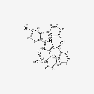 O=C(c1ccccc1)c1c(-c2ncccc2[N+](=O)[O-])nc(-c2ccc(Br)cc2)n1-c1ccccc1